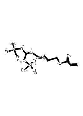 C=CC(=O)OCCC[SiH2]OC(O[Si](CC)(CC)CC)O[Si](CC)(CC)CC